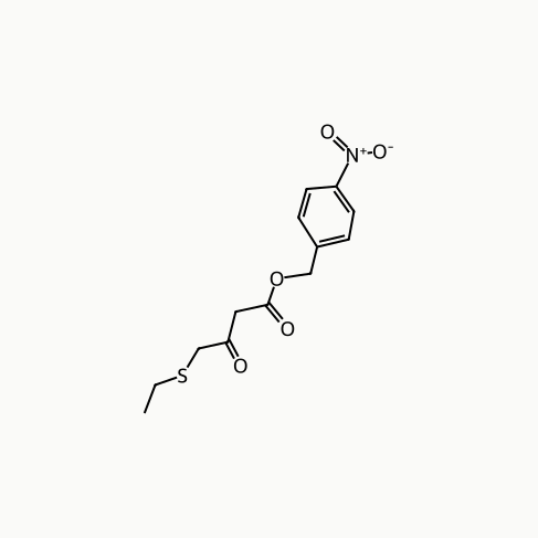 CCSCC(=O)CC(=O)OCc1ccc([N+](=O)[O-])cc1